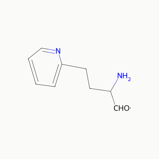 NC([C]=O)CCc1ccccn1